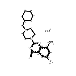 Cl.O=c1nc(N2CCN(CC3CCCCC3)CC2)sc2c([N+](=O)[O-])cc(C(F)(F)F)cc12